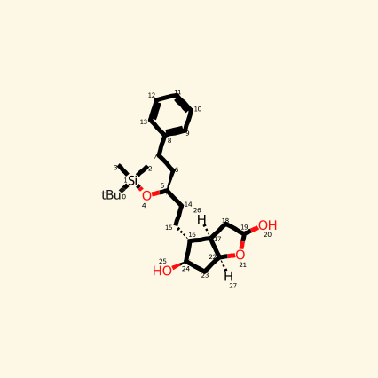 CC(C)(C)[Si](C)(C)O[C@@H](CCc1ccccc1)CC[C@@H]1[C@H]2CC(O)O[C@H]2C[C@H]1O